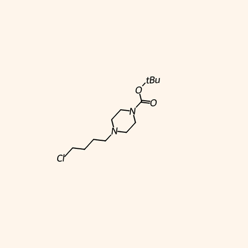 CC(C)(C)OC(=O)N1CCN(CCCCCl)CC1